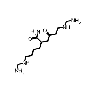 NCNCCCCC(CC(=O)CCNCN)C(N)=O